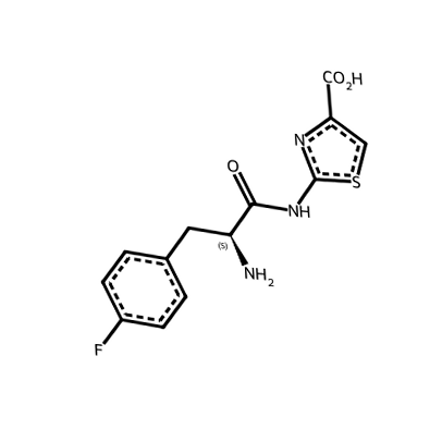 N[C@@H](Cc1ccc(F)cc1)C(=O)Nc1nc(C(=O)O)cs1